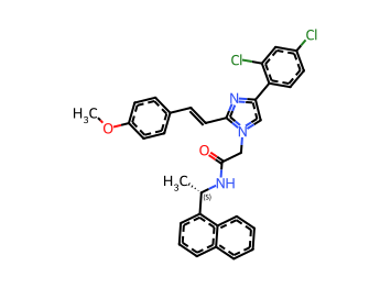 COc1ccc(C=Cc2nc(-c3ccc(Cl)cc3Cl)cn2CC(=O)N[C@@H](C)c2cccc3ccccc23)cc1